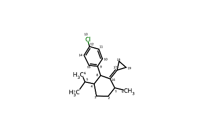 CC1CCC(C(C)C)C(c2ccc(Cl)cc2)C1=C1CC1